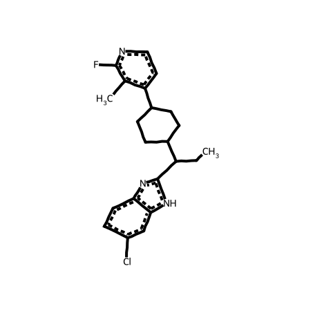 CCC(c1nc2ccc(Cl)cc2[nH]1)C1CCC(c2ccnc(F)c2C)CC1